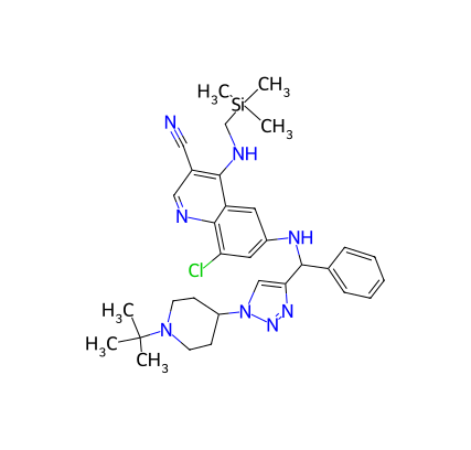 CC(C)(C)N1CCC(n2cc(C(Nc3cc(Cl)c4ncc(C#N)c(NC[Si](C)(C)C)c4c3)c3ccccc3)nn2)CC1